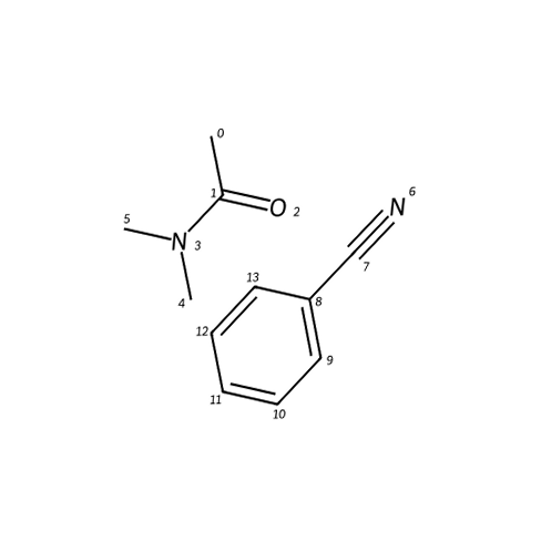 CC(=O)N(C)C.N#Cc1ccccc1